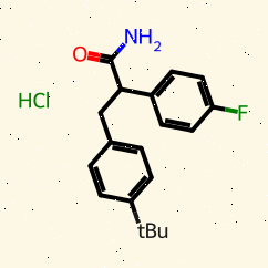 CC(C)(C)c1ccc(CC(C(N)=O)c2ccc(F)cc2)cc1.Cl